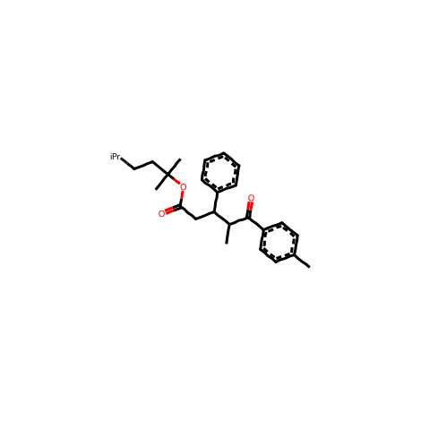 Cc1ccc(C(=O)C(C)C(CC(=O)OC(C)(C)CCC(C)C)c2ccccc2)cc1